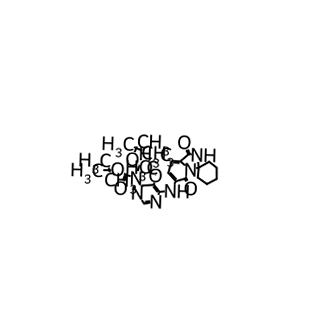 COc1c(Nc2cc(C)c3n(c2=O)C2(CCCCC2)NC3=O)ncnc1N(C(=O)OC(C)(C)C)C(=O)OC(C)(C)C